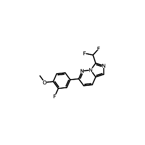 COc1ccc(-c2ccc3cnc(C(F)F)n3n2)cc1F